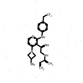 C=CC(=C)NCC(=N)c1c(N2CC(C(C)(C)C)C2)ccnc1Nc1ccc(CC(F)(F)F)cc1